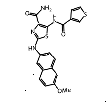 COc1ccc2cc(Nc3nc(C(N)=O)c(NC(=O)c4ccsc4)s3)ccc2c1